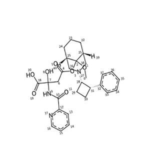 COC1(OC(=O)CC(O)(NC(=O)c2ccccn2)C(=O)O)[C@@H]2CCC[C@H]1CN([C@H]1CC[C@H]1c1ccccc1)C2